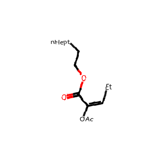 CCC=C(OC(C)=O)C(=O)OCCCCCCCCC